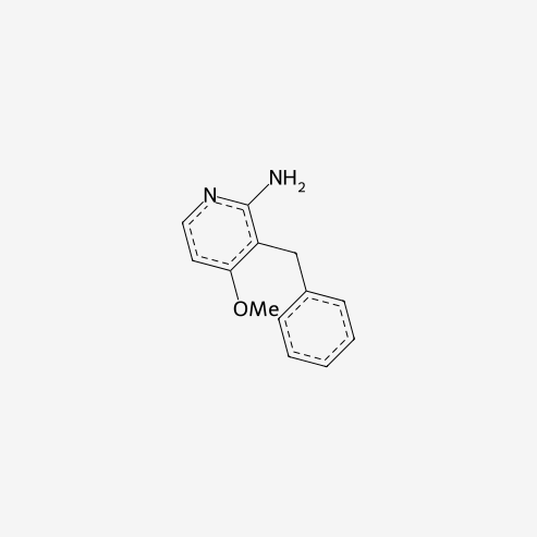 COc1ccnc(N)c1Cc1ccccc1